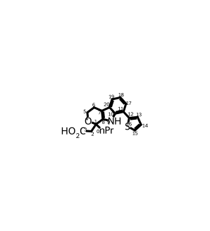 CCCC1(CC(=O)O)OCCc2c1[nH]c1c(-c3cccs3)cccc21